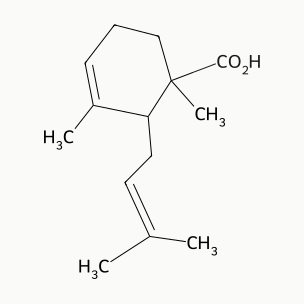 CC(C)=CCC1C(C)=CCCC1(C)C(=O)O